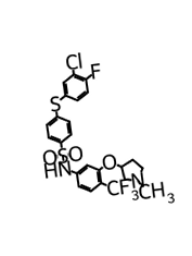 CN1CCC(Oc2cc(NS(=O)(=O)c3ccc(Sc4ccc(F)c(Cl)c4)cc3)ccc2C(F)(F)F)C1